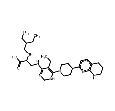 CCC1=C(N2CCC(c3ccc4c(n3)NCCC4)CC2)NCN=C1NC[C@H](NCC(CC)CC)C(=O)O